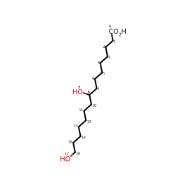 O=C(O)CCCCCCCC(O)CCCCCCCO